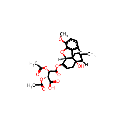 COc1ccc2c3c1O[C@H]1C(OC(=O)[C@H](OC(C)=O)[C@@H](OC(C)=O)C(=O)O)=CC[C@@]4(O)[C@@H](C2)C(C)CCC314